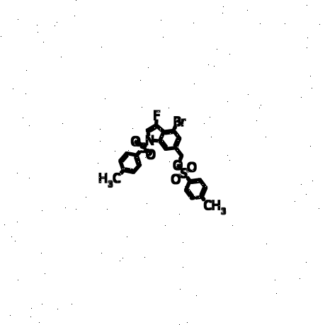 Cc1ccc(S(=O)(=O)OCc2cc(Br)c3c(F)cn(S(=O)(=O)c4ccc(C)cc4)c3c2)cc1